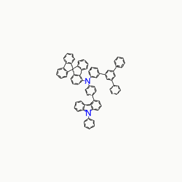 c1ccc(-c2cc(-c3ccccc3)cc(-c3cccc(N(c4ccc(-c5cccc6c5c5ccccc5n6-c5ccccc5)cc4)c4cccc5c4-c4ccccc4C54c5ccccc5-c5ccccc54)c3)c2)cc1